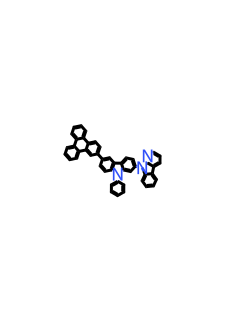 c1ccc(-n2c3ccc(-c4ccc5c6ccccc6c6ccccc6c5c4)cc3c3ccc(-n4c5ccccc5c5cccnc54)cc32)cc1